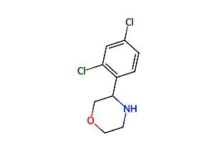 Clc1ccc(C2COCCN2)c(Cl)c1